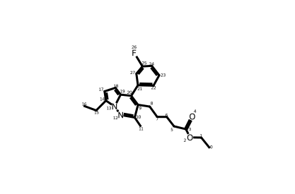 CCOC(=O)CCCCc1c(C)nn2c(CC)ccc2c1-c1cccc(F)c1